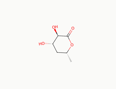 C[C@@H]1C[C@H](O)[C@@H](O)C(=O)O1